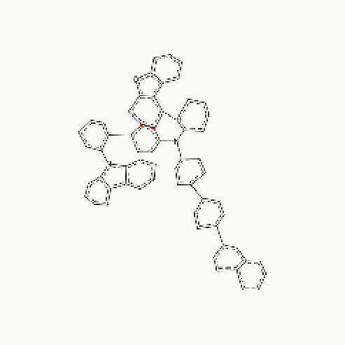 c1ccc(N(c2ccc(-c3ccc(-c4ccc5ccccc5c4)cc3)cc2)c2ccc(-c3ccccc3-n3c4ccccc4c4ccccc43)cc2)c(-c2cccc3oc4ccccc4c23)c1